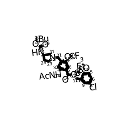 CCS(=O)(=O)c1ccc(Cl)cc1COC(=O)c1cc(OC(F)(F)F)c(CN2CC[C@@H](NC(=O)OC(C)(C)C)C2)cc1NC(C)=O